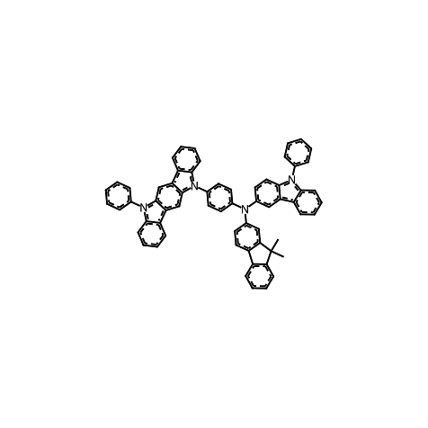 CC1(C)c2ccccc2-c2ccc(N(c3ccc(-n4c5ccccc5c5cc6c(cc54)c4ccccc4n6-c4ccccc4)cc3)c3ccc4c(c3)c3ccccc3n4-c3ccccc3)cc21